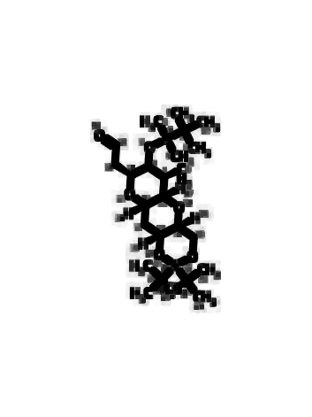 C[C@@H]1C(O[Si](C)(C)C(C)(C)C)[C@H](CC=O)O[C@H]2C[C@H]3O[Si](C(C)(C)C)(C(C)(C)C)OC[C@H]3O[C@H]21